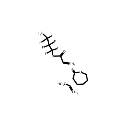 C=CC(=O)O.C=CC(=O)OC(F)(F)C(F)(F)C(F)(F)C(F)(F)F.O=C1CCCCCO1